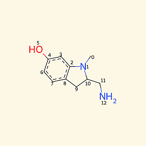 CN1c2cc(O)ccc2CC1CN